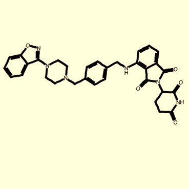 O=C1CCC(N2C(=O)c3cccc(NCc4ccc(CN5CCN(c6noc7ccccc67)CC5)cc4)c3C2=O)C(=O)N1